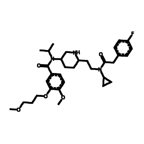 COCCCOc1cc(C(=O)N(C(C)C)C2CCC(CCN(C(=O)Cc3ccc(F)cc3)C3CC3)NC2)ccc1OC